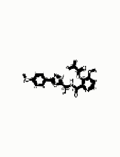 COc1ccc(-c2nnc([C@H](C)NC(=O)c3nccc(OC)c3OC(=O)C(C)C)o2)cc1